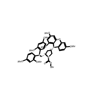 COc1ccc(P(C[C@@H]2C[C@H](P(c3ccc(OC)cc3OC)c3ccc(OC)cc3OC)CN2C(=O)OC(C)(C)C)c2ccc(OC)cc2OC)c(OC)c1